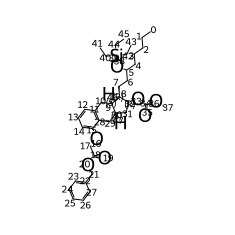 CCCCCC(CC[C@@H]1[C@H]2Cc3cccc(OCC(=O)OCc4ccccc4)c3C[C@H]2C[C@H]1OC(=O)OC)O[Si](CC)(CC)CC